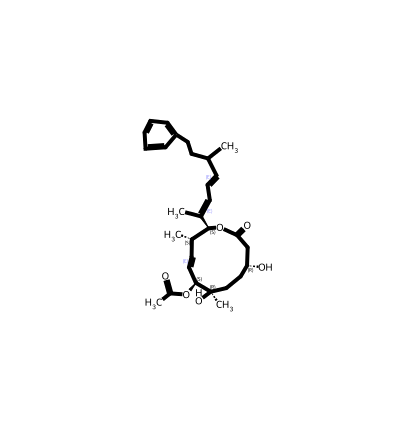 CC(=O)O[C@H]1/C=C/[C@H](C)[C@@H](/C(C)=C/C=C/C(C)CCc2ccccc2)OC(=O)C[C@H](O)CC[C@@]1(C)O